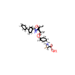 Cc1oc(-c2ccc(-c3ccccc3)cc2)nc1COc1ccc(CN2CSCC2C(=O)O)cc1